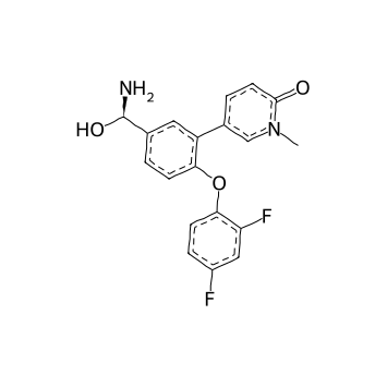 Cn1cc(-c2cc([C@H](N)O)ccc2Oc2ccc(F)cc2F)ccc1=O